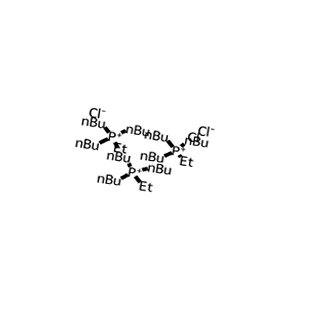 CCCC[P+](CC)(CCCC)CCCC.CCCC[P+](CC)(CCCC)CCCC.CCCC[P+](CC)(CCCC)CCCC.[Cl-].[Cl-].[Cl-]